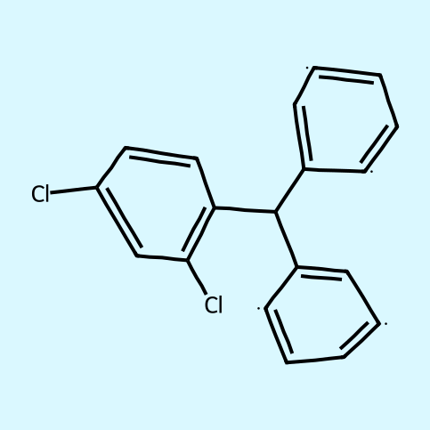 Clc1ccc(C(c2[c]cc[c]c2)c2[c]cc[c]c2)c(Cl)c1